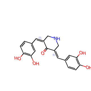 O=C1/C(=C\c2ccc(O)c(O)c2)CNC/C1=C\c1ccc(O)c(O)c1